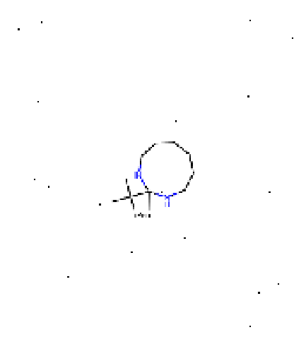 CCCC(C)C(C)(C)C1(C)NCCCCCCN1